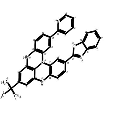 CC(C)(C)c1cc2c3c(c1)Nc1ccc(-c4nc5ccccc5o4)cc1B3c1cc(-c3ccccn3)ccc1N2